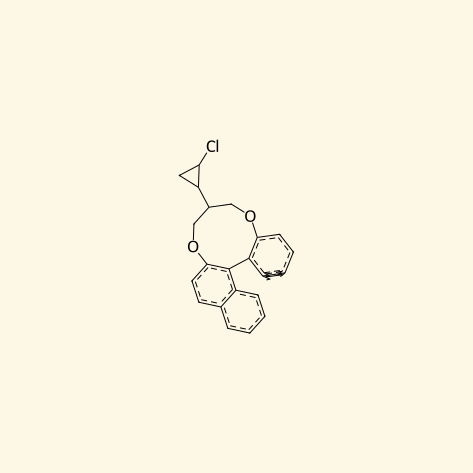 ClC1CC1C1COc2ccc3ccccc3c2-c2c(ccc3ccccc23)OC1